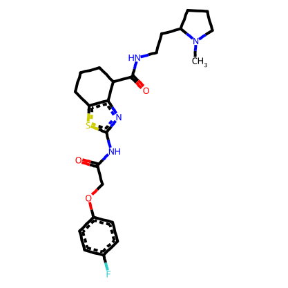 CN1CCCC1CCNC(=O)C1CCCc2sc(NC(=O)COc3ccc(F)cc3)nc21